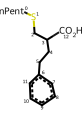 CCCCCSCC(CCc1ccccc1)C(=O)O